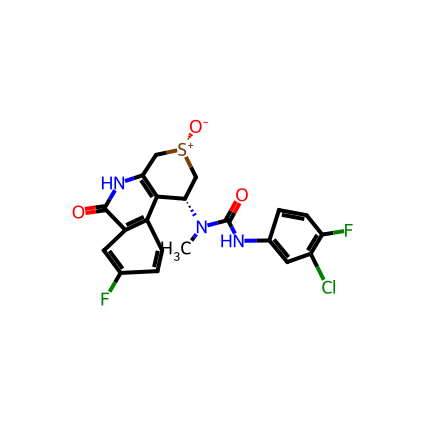 CN(C(=O)Nc1ccc(F)c(Cl)c1)[C@H]1C[S@@+]([O-])Cc2[nH]c(=O)c3cc(F)ccc3c21